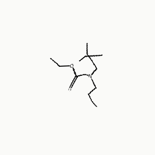 CCCN(CC(C)(C)C)C(=O)OCC